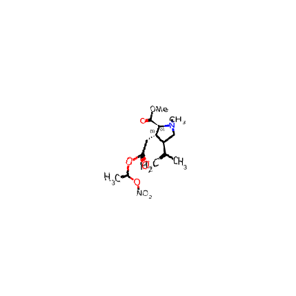 C=C(C)C1CN(C)[C@H](C(=O)OC)[C@H]1CC(=O)OC(C)O[N+](=O)[O-]